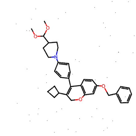 COC(OC)C1CCN(c2ccc(C3=C(C4CCC4)COc4cc(OCc5ccccc5)ccc43)cc2)CC1